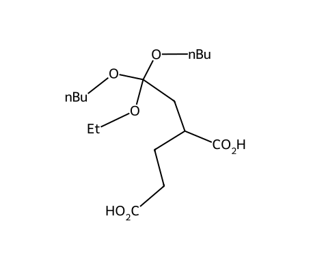 CCCCOC(CC(CCC(=O)O)C(=O)O)(OCC)OCCCC